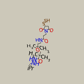 CC(C)CNNC(=O)C(C)(C)COC(C)(C)CCNC(=O)CCN1C(=O)CC(SS)C1=O